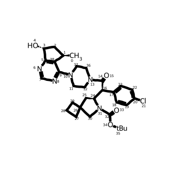 C[C@@H]1C[C@@H](O)c2ncnc(N3CCN(C(=O)[C@@H](c4ccc(Cl)cc4)[C@@H]4CC5(CCC5)CN4C(=O)OC(C)(C)C)CC3)c21